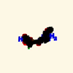 NC1=NC=C2CC2c2c1c(-c1ccc(Oc3ccccc3)cc1)nn2C1CCN(C(=O)CCCCSc2cc(F)cc3c2C(=O)N(C2CCC(=O)NC2=O)C3=O)CC1